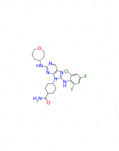 NC(=O)C1CCC(n2c(Nc3c(F)cc(F)cc3Cl)nc3cnc(NC4CCCOCC4)nc32)CC1